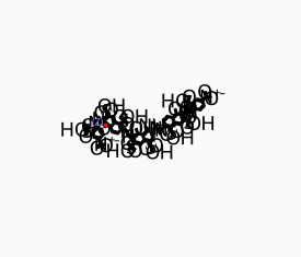 Nc1c(N=Nc2ccc3c(O)c(N=Nc4ccc([N+](=O)[O-])cc4S(=O)(=O)O)c(S(=O)(=O)O)cc3c2S(=O)(=O)O)cc(S(=O)(=O)O)c2cc(S(=O)(=O)O)c(N=Nc3ccc4c(O)c(/N=N\c5ccc([N+](=O)[O-])cc5S(=O)(=O)O)c(S(=O)(=O)O)cc4c3S(=O)(=O)O)c(O)c12